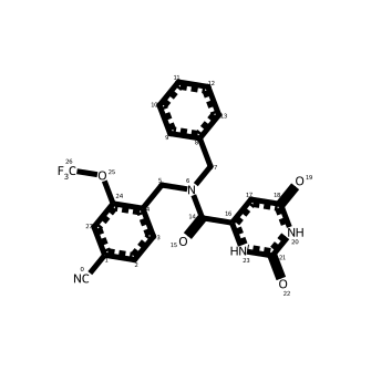 N#Cc1ccc(CN(Cc2ccccc2)C(=O)c2cc(=O)[nH]c(=O)[nH]2)c(OC(F)(F)F)c1